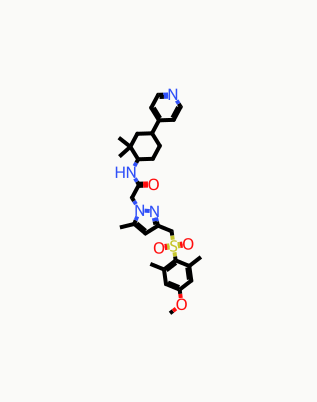 COc1cc(C)c(S(=O)(=O)Cc2cc(C)n(CC(=O)NC3CCC(c4ccncc4)CC3(C)C)n2)c(C)c1